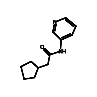 O=C(CC1CCCC1)Nc1cccnc1